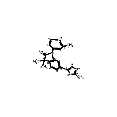 Cc1cc(N2C(=O)C(C)(C)c3ccc(-c4nnc(C)o4)cc32)ccn1